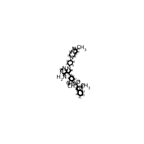 COc1cc(-c2cn(C3CCC(N4CCn5nc(C)cc5C4)CC3)c3ncnc(N)c23)ccc1NC(=O)c1cc2ccccc2n1C